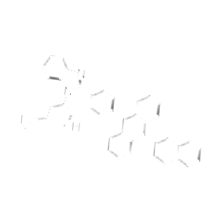 C=C/C=C(\C=C)n1c(-c2ccc(-c3c4ccccc4c(-c4ccc5ccccc5c4)c4ccccc34)cc2)nc2ccccc21